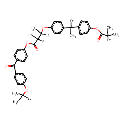 CCC(C)(C)Oc1ccc(C(=O)c2ccc(OC(=O)C(CC)(CC)C(C)(CC)Oc3ccc(C(C)(CC)c4ccc(OC(=O)C(C)(C)CC)cc4)cc3)cc2)cc1